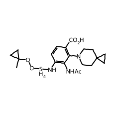 CC(=O)Nc1c(N[SH4]OOC2(C)CC2)ccc(C(=O)O)c1N1CCC2(CC1)CC2